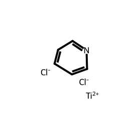 [Cl-].[Cl-].[Ti+2].c1ccncc1